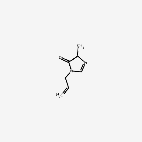 C=CCN1C=NC(C)C1=O